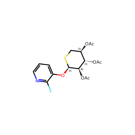 CC(=O)O[C@@H]1[C@@H](OC(C)=O)[C@@H](Oc2cccnc2F)SC[C@H]1OC(C)=O